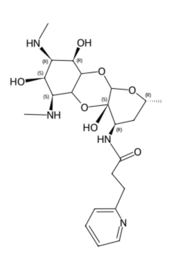 CN[C@@H]1[C@H](O)[C@H](NC)C2O[C@]3(O)C(OC2[C@@H]1O)O[C@H](C)C[C@H]3NC(=O)CCc1ccccn1